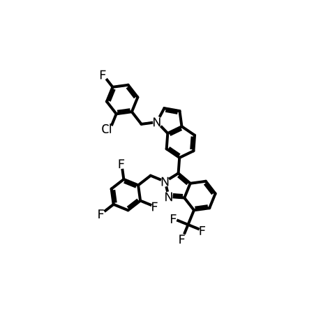 Fc1cc(F)c(Cn2nc3c(C(F)(F)F)cccc3c2-c2ccc3ccn(Cc4ccc(F)cc4Cl)c3c2)c(F)c1